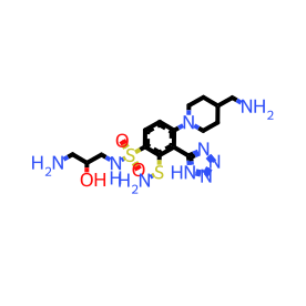 NCC(O)CNS(=O)(=O)c1ccc(N2CCC(CN)CC2)c(-c2nnn[nH]2)c1SN